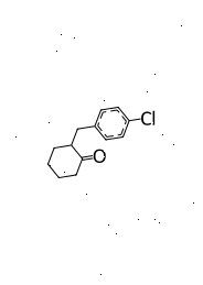 O=C1CCCCC1Cc1ccc(Cl)cc1